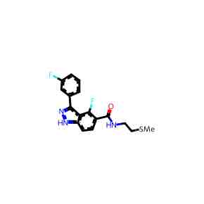 CSCCNC(=O)c1ccc2[nH]nc(-c3cccc(F)c3)c2c1F